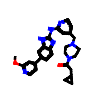 COc1cc(-c2ccc3nc(Nc4cc(CN5CCN(C(=O)CC6CC6)CC5)ccn4)[nH]c3c2)ccn1